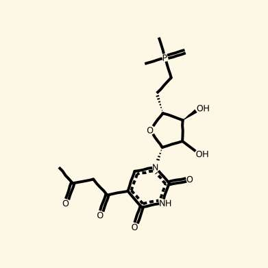 C=P(C)(C)CC[C@H]1O[C@@H](n2cc(C(=O)CC(C)=O)c(=O)[nH]c2=O)C(O)[C@@H]1O